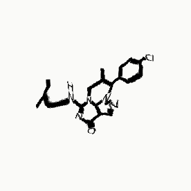 CC1=C(c2ccc(Cl)cc2)n2ncc3c(=O)nc(NCC(C)C)n(c32)C1